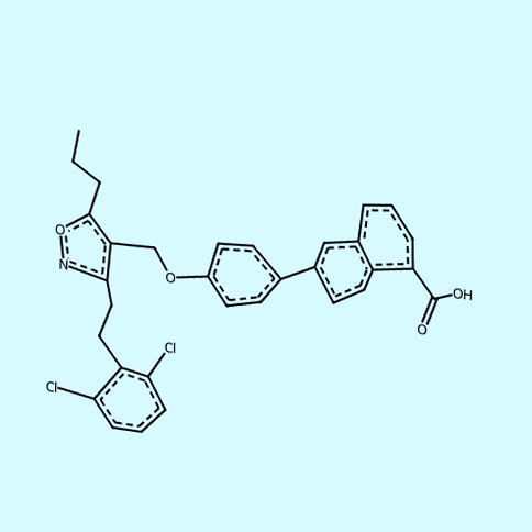 CCCc1onc(CCc2c(Cl)cccc2Cl)c1COc1ccc(-c2ccc3c(C(=O)O)cccc3c2)cc1